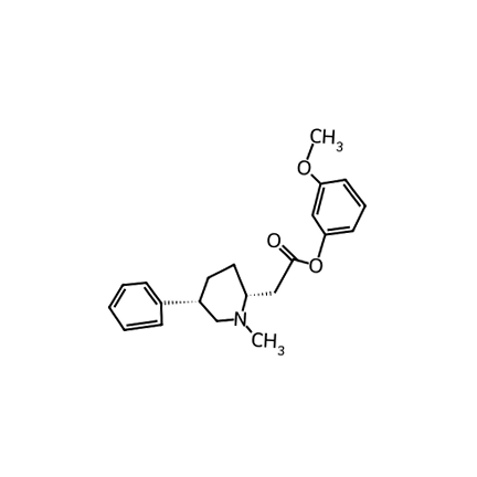 COc1cccc(OC(=O)C[C@H]2CC[C@@H](c3ccccc3)CN2C)c1